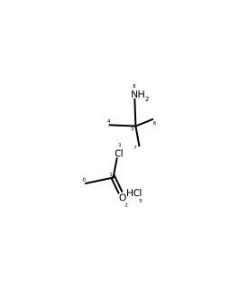 CC(=O)Cl.CC(C)(C)N.Cl